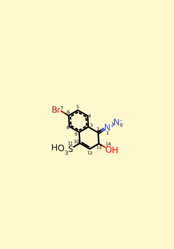 [N-]=[N+]=C1c2ccc(Br)cc2C(S(=O)(=O)O)=CC1O